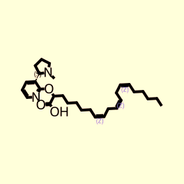 CCCCC/C=C\C/C=C\C/C=C\CCCCCC(Oc1ncccc1[C@@H]1CCCN1C)C(=O)O